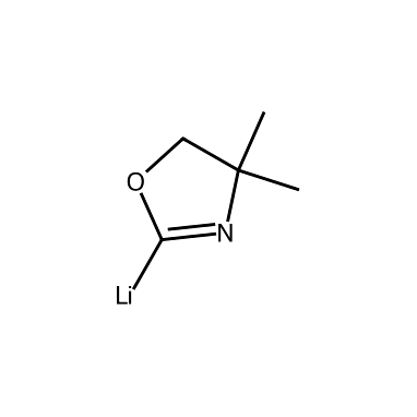 [Li][C]1=NC(C)(C)CO1